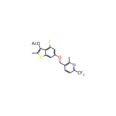 CC(=O)Oc1c(C)sc2cc(OCc3ccc(C(F)(F)F)nc3C)cc(F)c12